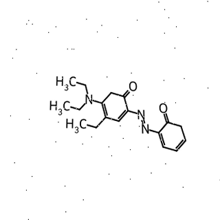 CCC1=C(N(CC)CC)CC(=O)C(N=NC2=CC=CCC2=O)=C1